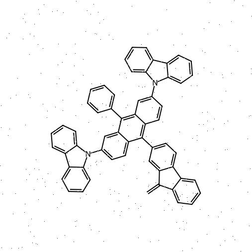 C=C1c2ccccc2-c2ccc(-c3c4ccc(-n5c6ccccc6c6ccccc65)cc4c(-c4ccccc4)c4cc(-n5c6ccccc6c6ccccc65)ccc34)cc21